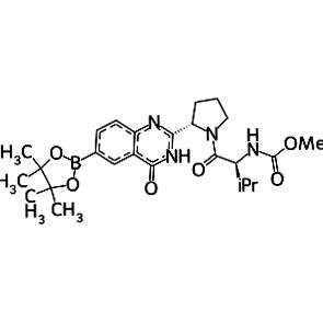 COC(=O)N[C@H](C(=O)N1CCC[C@H]1c1nc2ccc(B3OC(C)(C)C(C)(C)O3)cc2c(=O)[nH]1)C(C)C